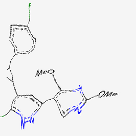 COc1ncc(-c2cc(C3CC3c3ccc(F)cc3)c(Cl)nn2)c(OC)n1